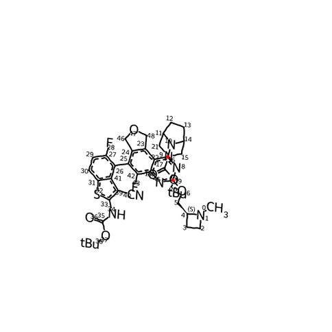 CN1CC[C@H]1COc1nc(N2C3CCC2CN(C(=O)OC(C)(C)C)C3)c2c3c(c(-c4c(F)ccc5sc(NC(=O)OC(C)(C)C)c(C#N)c45)c(F)c2n1)COC3